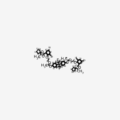 CCC1(OC(=O)c2cc(I)cc(I)c2OCCOC(C)Oc2ccc(C(c3ccc(OC(C)OCCOc4c(I)cc(I)cc4C(=O)OC4(CC)CCCC4)cc3)(C(F)(F)F)C(F)(F)F)cc2)CCCC1